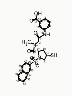 CN(CC(=O)Nc1cccc(C(=O)O)c1)C(=O)[C@@H]1C[C@@H](S)CN1S(=O)(=O)c1ccc2ccccc2c1